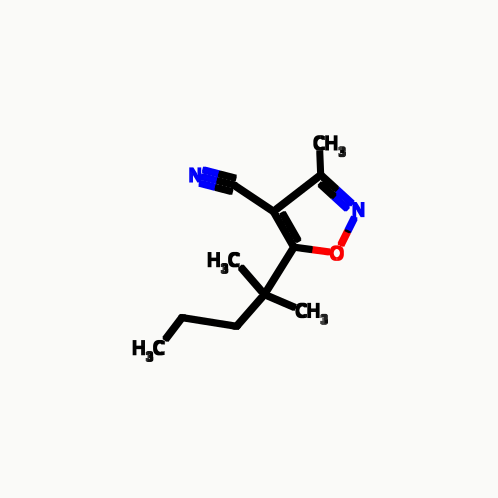 CCCC(C)(C)c1onc(C)c1C#N